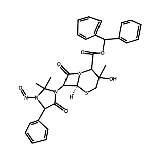 CC1(O)CS[C@H]2C(N3C(=O)C(c4ccccc4)N(N=O)C3(C)C)C(=O)N2C1C(=O)OC(c1ccccc1)c1ccccc1